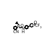 N#Cc1cccc(N(CC(=O)Nc2ccc(C3CCN(C(=O)C(F)(F)F)CC3)cc2)CC2CC2)c1